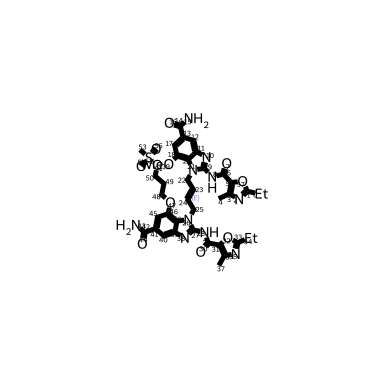 CCc1nc(C)c(C(=O)Nc2nc3cc(C(N)=O)cc(OC)c3n2C/C=C/Cn2c(NC(=O)c3oc(CC)nc3C)nc3cc(C(N)=O)cc(OCCCOS(C)(=O)=O)c32)o1